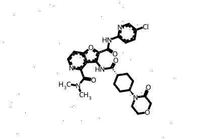 CN(C)C(=O)c1nccc2oc(C(=O)Nc3ccc(Cl)cn3)c(NC(=O)[C@H]3CC[C@H](N4CCOCC4=O)CC3)c12